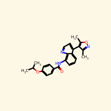 Cc1noc(C)c1-c1ccnc2c(NC(=O)c3ccc(OC(C)C)cc3)cccc12